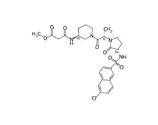 COC(=O)CC(=O)N[C@H]1CCCN(C(=O)[C@H](C)N2CC[C@H](NS(=O)(=O)c3ccc4cc(Cl)ccc4c3)C2=O)C1